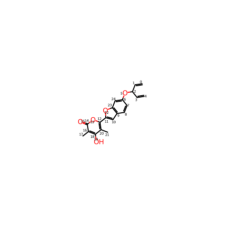 C=CC(C=C)Oc1ccc2cc(-c3oc(=O)c(C)c(O)c3C)oc2c1